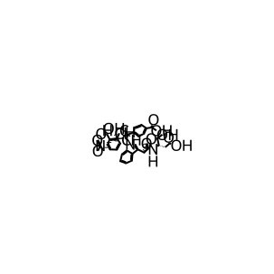 CC(C)c1ccc(C(=O)O)cc1.O=C(O)C[C@H](NC(=O)Cc1c[nH]c2ccccc12)C(=O)O.O=C(O)c1c(Cl)cccc1[N+](=O)[O-]